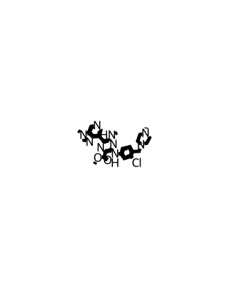 CNc1nc(Nc2ccc(CN3CCN(C)CC3)c(Cl)c2)c(C(=O)OC)nc1-c1cncc2c1ncn2C